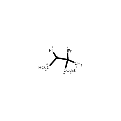 CCOC(=O)C(C)(C(C)C)C(CC)C(=O)O